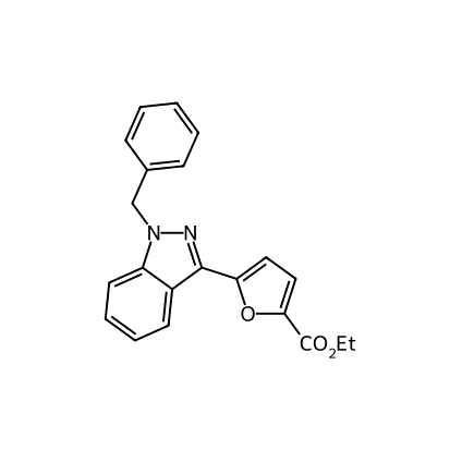 CCOC(=O)c1ccc(-c2nn(Cc3ccccc3)c3ccccc23)o1